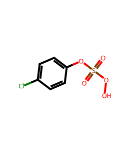 O=S(=O)(OO)Oc1ccc(Cl)cc1